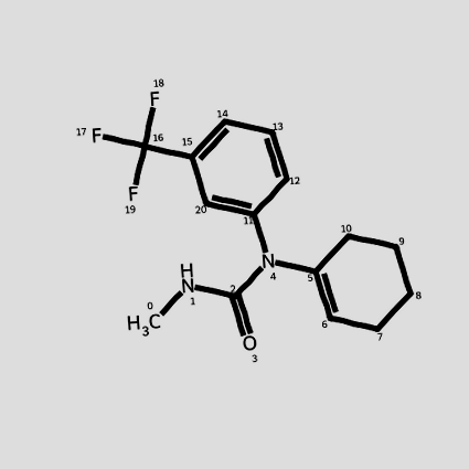 CNC(=O)N(C1=CCCCC1)c1cccc(C(F)(F)F)c1